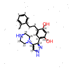 Cc1ccccc1CCc1cc(-c2n[nH]cc2N2CCNCC2)c(O)cc1O